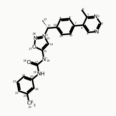 Cc1ncncc1-c1ccc([C@@H](C)[n+]2cc([N-]C(=O)Nc3cccc(C(F)(F)F)c3)on2)cc1